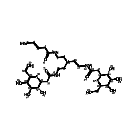 O=C(CCCS)NCCN(CCNC(=O)C[C@@H]1S[C@H](CO)[C@H](O)[C@H](O)[C@H]1O)CCNC(=O)C[C@@H]1S[C@H](CO)[C@H](O)[C@H](O)[C@H]1O